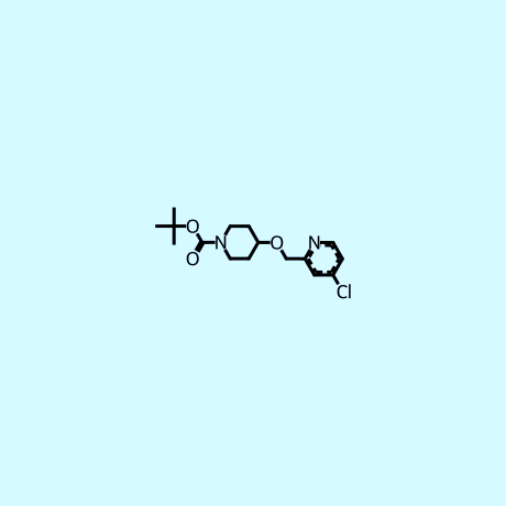 CC(C)(C)OC(=O)N1CCC(OCc2cc(Cl)ccn2)CC1